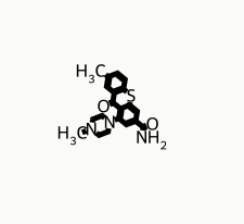 Cc1ccc2sc3cc(C(N)=O)cc(N4CCN(C)CC4)c3c(=O)c2c1